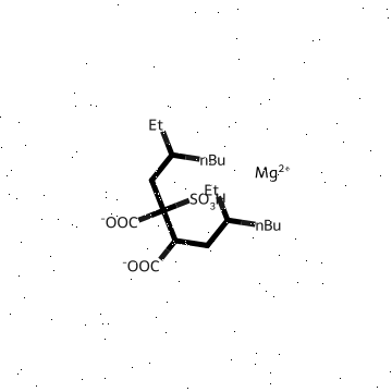 CCCCC(CC)CC(C(=O)[O-])C(CC(CC)CCCC)(C(=O)[O-])S(=O)(=O)O.[Mg+2]